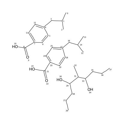 CC(C)Cc1ccc(C(=O)O)cc1.CC(C)Cc1ccc(C(=O)O)cc1.CCCC(O)C(C)C(O)CCC